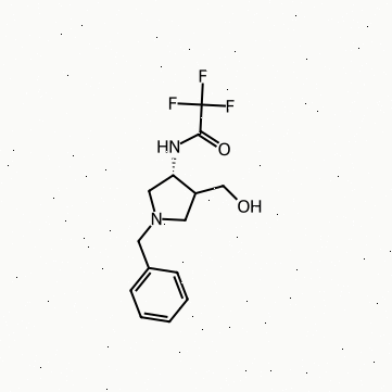 O=C(N[C@H]1CN(Cc2ccccc2)CC1CO)C(F)(F)F